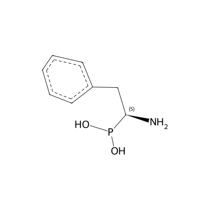 N[C@H](Cc1ccccc1)P(O)O